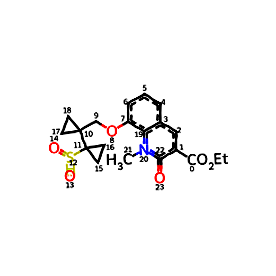 CCOC(=O)c1cc2cccc(OCC3(C4([SH](=O)=O)CC4)CC3)c2n(C)c1=O